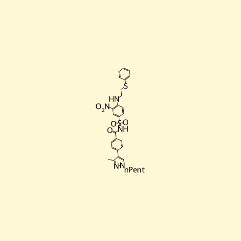 CCCCCn1cc(-c2ccc(C(=O)NS(=O)(=O)c3ccc(NCCSc4ccccc4)c([N+](=O)[O-])c3)cc2)c(C)n1